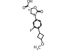 COC1CC(c2ccc(N3C[C@H](C(=O)O)OC3=O)cc2F)C1